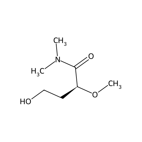 CO[C@@H](CCO)C(=O)N(C)C